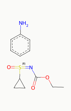 CCOC(=O)N=[S@](=O)(c1ccc(N)cc1)C1CC1